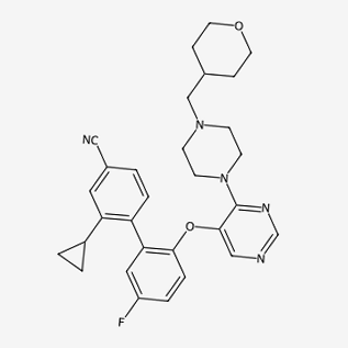 N#Cc1ccc(-c2cc(F)ccc2Oc2cncnc2N2CCN(CC3CCOCC3)CC2)c(C2CC2)c1